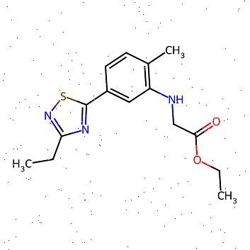 CCOC(=O)CNc1cc(-c2nc(CC)ns2)ccc1C